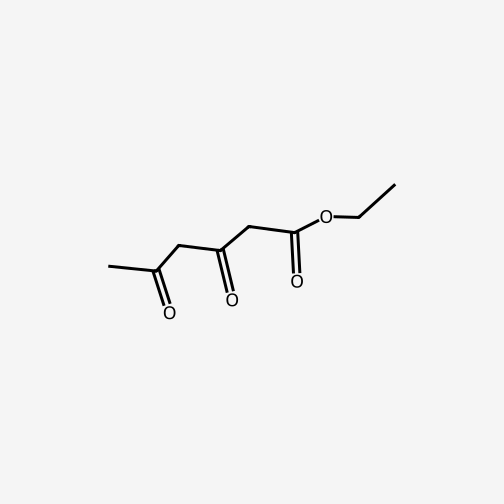 CCOC(=O)CC(=O)CC(C)=O